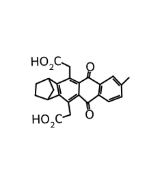 Cc1ccc2c(c1)C(=O)c1c(CC(=O)O)c3c(c(CC(=O)O)c1C2=O)C1CCC3C1